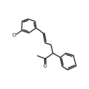 CC(=O)C(CC=Cc1cccc(Cl)c1)c1ccccc1